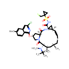 COc1ccc2c(O[C@@H]3C[C@H]4C(=O)N[C@]5(C(=O)NS(=O)(=O)C6(CF)CC6)C[C@H]5/C=C\CC[C@@H](C)C[C@@H](C)[C@H](N(C(=O)O)C(C)(C)C(F)(F)F)C(=O)N4C3)nc(Cl)cc2c1